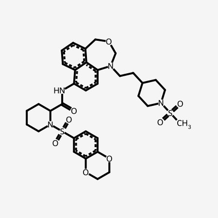 CS(=O)(=O)N1CCC(CCN2COCc3cccc4c(NC(=O)C5CCCCN5S(=O)(=O)c5ccc6c(c5)OCCO6)ccc2c34)CC1